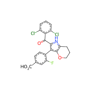 O=C(O)c1ccc(-c2c(C(=O)c3c(Cl)cccc3Cl)[nH]c3c2OCCC3)c(F)c1